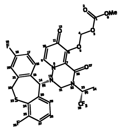 COC(=O)OCOc1c2n(ccc1=O)N([C@H]1c3ccc(F)cc3CSc3c(F)cccc31)CN([C@H](C)C(F)(F)F)C2=O